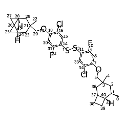 C[C@@H]1CC(C)(COc2cc(F)c(SSc3cc(Cl)c(OCC4(C)C[C@@H]5CC56C[C@@H]6C4)cc3F)cc2Cl)CC2CC[C@H]21